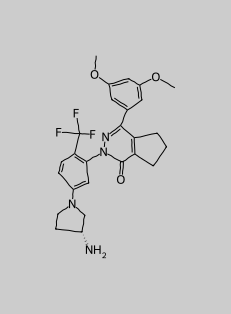 COc1cc(OC)cc(-c2nn(-c3cc(N4CC[C@@H](N)C4)ccc3C(F)(F)F)c(=O)c3c2CCC3)c1